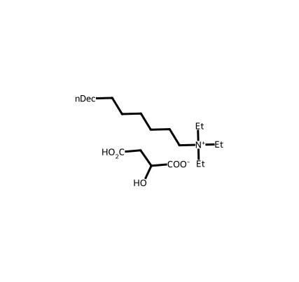 CCCCCCCCCCCCCCCC[N+](CC)(CC)CC.O=C(O)CC(O)C(=O)[O-]